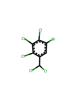 Clc1c(Br)[c]c(C(Cl)Cl)c(Cl)c1Cl